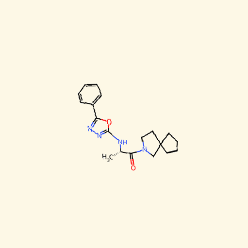 C[C@H](Nc1nnc(-c2ccccc2)o1)C(=O)N1CCC2(CCCC2)C1